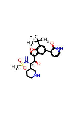 CC(C)(C)c1cc(-c2ccc[nH]c2=O)cc2c(C(=O)[C@@H](NS(C)(=O)=O)C3CCCNC3)coc12